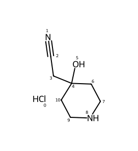 Cl.N#CCC1(O)CCNCC1